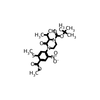 COC(=O)c1cc([N+](=O)[O-])c(N2CCN(C(=O)OC(C)(C)C)C(C(C)C)C2=O)cc1SC